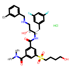 CCCN(CCC)C(=O)c1cc(C(=O)N[C@@H](Cc2cc(F)cc(F)c2)[C@H](O)CNCc2cccc(CC)c2)cc(S(=O)(=O)CCCCO)c1.Cl